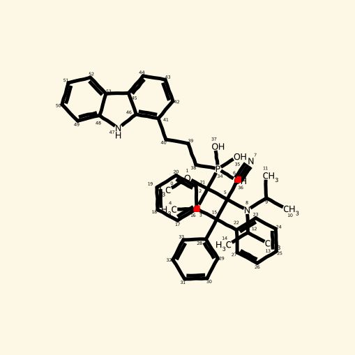 COC(OC)(C(C#N)(N(C(C)C)C(C)C)C(c1ccccc1)(c1ccccc1)c1ccccc1)P(O)(O)(O)CCCc1cccc2c1[nH]c1ccccc12